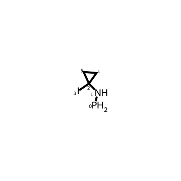 PNC1(I)CC1